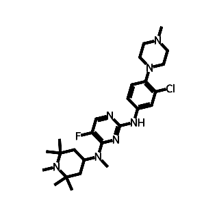 CN1CCN(c2ccc(Nc3ncc(F)c(N(C)C4CC(C)(C)N(C)C(C)(C)C4)n3)cc2Cl)CC1